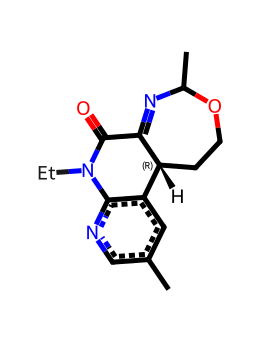 CCN1C(=O)C2=NC(C)OCC[C@@H]2c2cc(C)cnc21